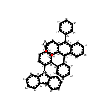 N#Cc1ccc(-n2c3ccccc3c3ccccc32)c(-c2ccccc2-c2c3ccccc3c(-c3ccccc3)c3ccccc23)c1